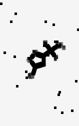 FC(F)(F)C(F)(F)C1=N[N]C(Cl)=C1